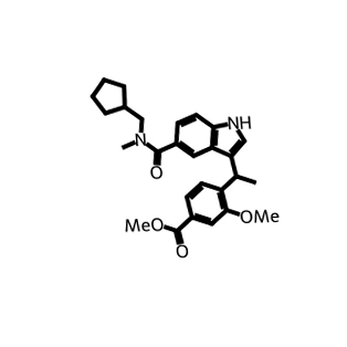 COC(=O)c1ccc(C(C)c2c[nH]c3ccc(C(=O)N(C)CC4CCCC4)cc23)c(OC)c1